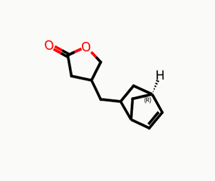 O=C1CC(CC2C[C@H]3C=CC2C3)CO1